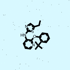 CCc1cnc(Nc2cccnc2Oc2ccccc2C(C)(C)C)s1